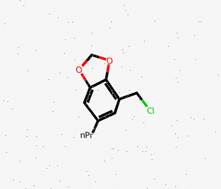 CCCc1cc(CCl)c2c(c1)OCO2